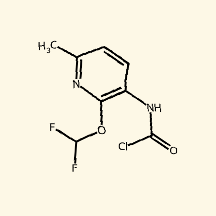 Cc1ccc(NC(=O)Cl)c(OC(F)F)n1